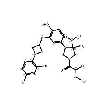 COc1ccc([C@@H]2CN(C(=O)C(O)CO)C[C@@]2(C)[C@@H](C)O)cc1OC1CN(c2ncc(Cl)cc2C)C1